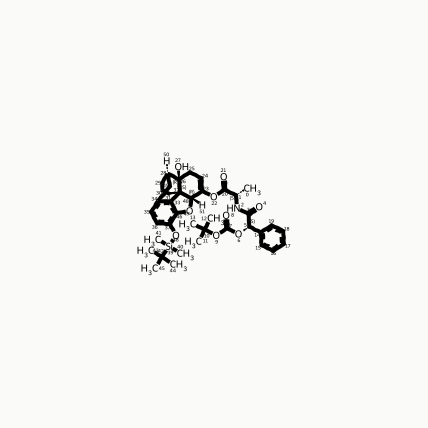 C[C@H](NC(=O)[C@@H](OC(=O)OC(C)(C)C)c1ccccc1)C(=O)OC1=CC[C@@]2(O)[C@@H]3CCC[C@@]24c2c(ccc(O[Si](C)(C)C(C)(C)C)c2O[C@@H]14)C3